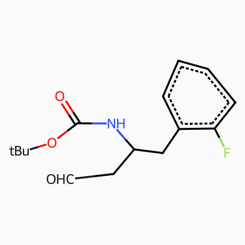 CC(C)(C)OC(=O)NC(CC=O)Cc1ccccc1F